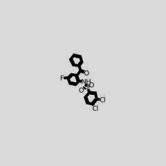 O=C(c1ccccc1)c1cc(F)ccc1NS(=O)(=O)c1ccc(Cl)c(Cl)c1